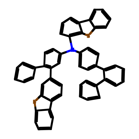 c1ccc(-c2ccccc2-c2ccc(N(c3ccc(-c4ccccc4)c(-c4ccc5c(c4)sc4ccccc45)c3)c3cccc4c3sc3ccccc34)cc2)cc1